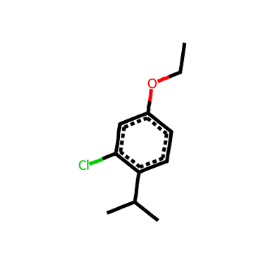 CCOc1ccc(C(C)C)c(Cl)c1